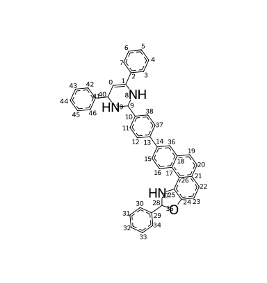 C1=C(c2ccccc2)NC(c2ccc(-c3ccc4c(ccc5ccc6c(c54)NC(c4ccccc4)O6)c3)cc2)NC1c1ccccc1